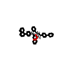 c1ccc(-c2ccc(-c3nc(-c4ccccc4)nc(-c4ccccc4N(c4ccccc4)c4ccc(-c5cccc6ccccc56)cc4)n3)cc2)cc1